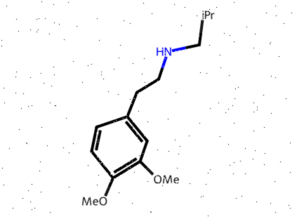 COc1ccc(CCNCC(C)C)cc1OC